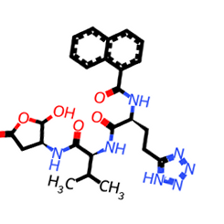 CC(C)[C@H](NC(=O)[C@H](CCc1nnn[nH]1)NC(=O)c1cccc2ccccc12)C(=O)N[C@H]1CC(=O)OC1O